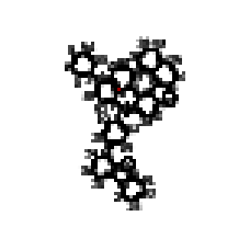 c1ccc(-c2ccc(N(c3ccc(-c4cccc5c4oc4ccccc45)cc3)c3ccc4oc5ccc6ccccc6c5c4c3-c3ccccc3)cc2)cc1